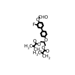 C=C(C)C(=O)OCC(COC(=O)C(=C)C)Oc1ccc(-c2ccc(OC=O)c(F)c2)cc1